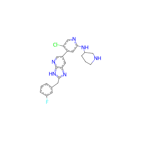 Fc1cccc(Cc2nc3cc(-c4cc(NC5CCCNC5)ncc4Cl)cnc3[nH]2)c1